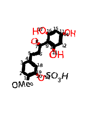 COc1ccc(C=CC(=O)c2c(O)cc(O)cc2O)cc1OS(=O)(=O)O